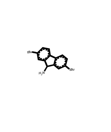 CC(C)(C)c1ccc2c(c1)C(N)c1cc(C(C)(C)C)ccc1-2